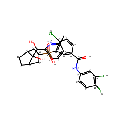 Cc1cccc(C(O)C2(O)C3CCC2CC(S(=O)(=O)c2cc(C(=O)Nc4ccc(F)c(F)c4)ccc2Cl)C3)n1